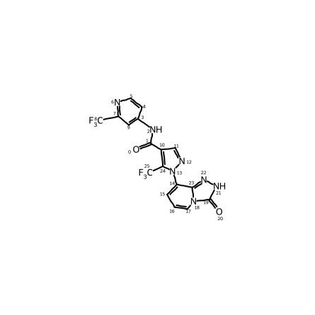 O=C(Nc1ccnc(C(F)(F)F)c1)c1cnn(-c2cccn3c(=O)[nH]nc23)c1C(F)(F)F